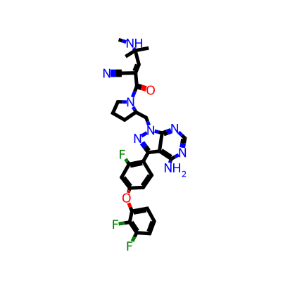 CNC(C)(C)C=C(C#N)C(=O)N1CCCC1Cn1nc(-c2ccc(Oc3cccc(F)c3F)cc2F)c2c(N)ncnc21